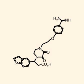 N=C(N)c1ccc(OCCCN2CCN(C(CC(=O)O)c3ccc4sccc4c3)C(=O)C2=O)cc1